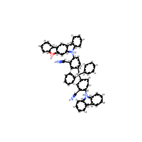 N#Cc1cc([Si](c2ccccc2)(c2ccccc2)c2ccc(-n3c4ccccc4c4cc5c(cc43)oc3ccccc35)c(C#N)c2)ccc1-n1c2ccccc2c2ccccc21